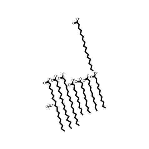 CCCCCCCCCCCC(=O)[O-].CCCCCCCCCCCC(=O)[O-].CCCCCCCCCCCC(=O)[O-].CCCCCCCCCCCC(=O)[O-].CCCCCCCCCCCCCCCCCC(=O)[O-].CCCCCCCCCCCCCCCCCC(=O)[O-].CCCCCCCCCCCCCCCCCC(=O)[O-].CCCCCCCCCCCCCCCCCC(=O)[O-].[Zr+4].[Zr+4]